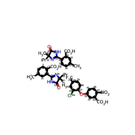 Cc1ccc(C(=O)O)c(C2=NC(C)(C(C)C)C(=O)N2)c1.Cc1ccc(C2=NC(C)(C(C)C)C(=O)N2)c(C(=O)O)c1.O=C(O)c1cc(Oc2ccc(C(F)(F)F)cc2Cl)ccc1[N+](=O)[O-]